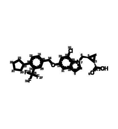 O=C(O)[C@H]1C[C@@H]1Cn1ccc2cc(OCc3ccc(C4CCCC4)c(C(F)(F)F)c3)cc(Cl)c21